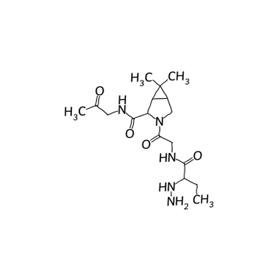 CCC(NN)C(=O)NCC(=O)N1CC2C(C1C(=O)NCC(C)=O)C2(C)C